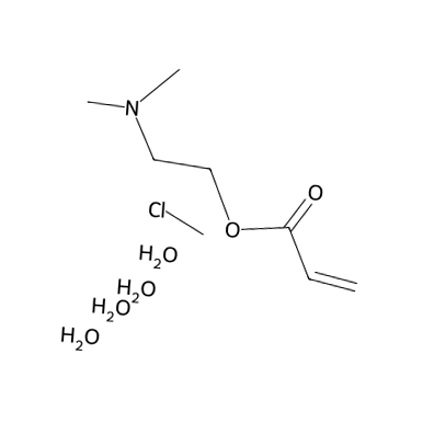 C=CC(=O)OCCN(C)C.CCl.O.O.O.O